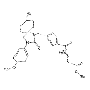 CC(C)(C)OC(=O)CCNC(=O)c1ccc(CN2C(=O)N(c3ccc(OC(F)(F)F)cc3)C[C@]23CC[C@@H](C(C)(C)C)CC3)cc1